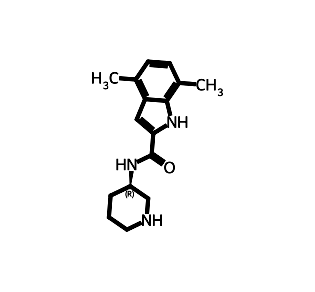 Cc1ccc(C)c2[nH]c(C(=O)N[C@@H]3CCCNC3)cc12